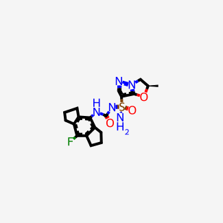 C[C@@H]1Cn2ncc([S@](N)(=O)=NC(=O)Nc3c4c(c(F)c5c3CCC5)CCC4)c2O1